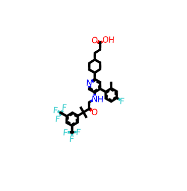 Cc1cc(F)ccc1-c1cc(C2CCC(CCC(=O)O)CC2)ncc1NCC(=O)C(C)(C)c1cc(C(F)(F)F)cc(C(F)(F)F)c1